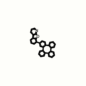 c1ccc2c(c1)-c1ccccc1-c1ccc(-c3cccc4c3oc3ncccc34)cc1-c1ccccc1-2